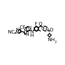 Cc1cc(Nc2nccn3c(-c4cn(CC#N)nc4C(F)(F)F)cnc23)cc(F)c1C(=O)N1CCN(C(=O)[C@H]2C[C@@H](N)C2)CC1